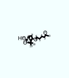 CC(=O)CCCCOC1CCN(C(=O)O)C1C(C)(C)C